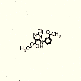 CCOC(=O)c1cnc(Cl)nc1Nc1cccc(C(C)O)c1